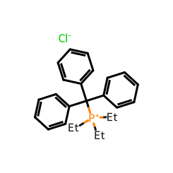 CC[P+](CC)(CC)C(c1ccccc1)(c1ccccc1)c1ccccc1.[Cl-]